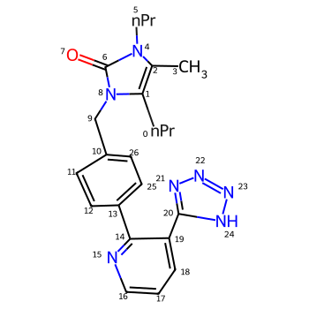 CCCc1c(C)n(CCC)c(=O)n1Cc1ccc(-c2ncccc2-c2nnn[nH]2)cc1